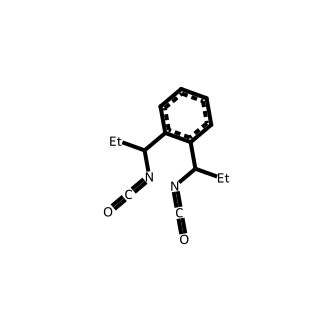 CCC(N=C=O)c1ccccc1C(CC)N=C=O